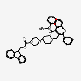 CCCN(C(=O)c1c(CN2CCC(N3CCN(C(=O)OCC4c5ccccc5-c5ccccc54)CC3)CC2)c(-c2ccccc2)nc2ccccc12)c1ccccc1